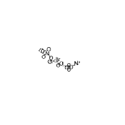 CC(C)(CC(C)(Br)C(=O)OCCOP(=O)([O-])OCC[N+](C)(C)C)C(=O)OCCN1C(=O)C2C3C=CC(O3)C2C1=O